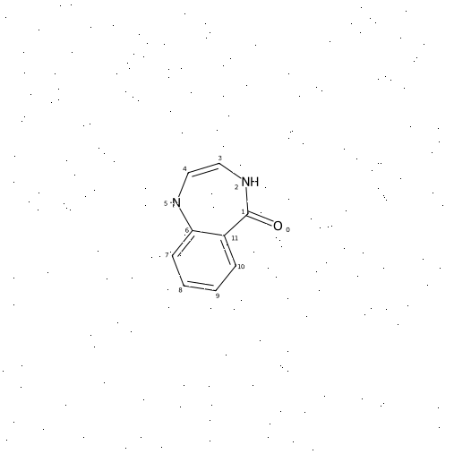 O=C1NC=C[N]c2ccccc21